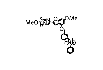 COc1cc(OCc2cccc(NS(=O)(=O)c3ccccc3)c2)c2cc(-c3cn4nc(OC)sc4n3)oc2c1